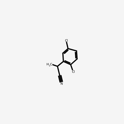 CC(C#N)c1cc(Cl)ccc1Cl